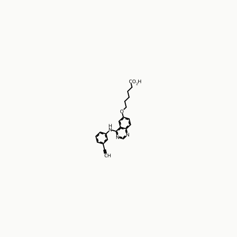 C#Cc1cccc(Nc2ncnc3ccc(OCCCCCC(=O)O)cc23)c1